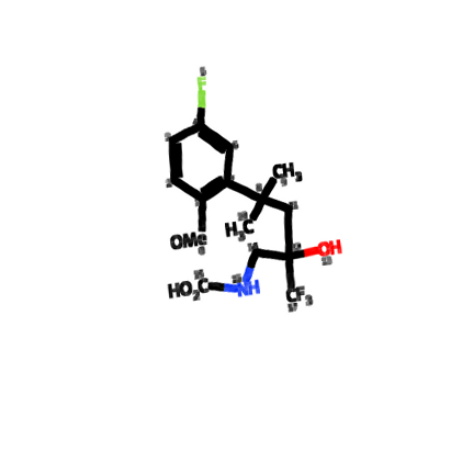 COc1ccc(F)cc1C(C)(C)CC(O)(CNC(=O)O)C(F)(F)F